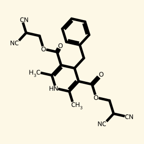 CC1=C(C(=O)OCC(C#N)C#N)C(Cc2ccccc2)C(C(=O)OCC(C#N)C#N)=C(C)N1